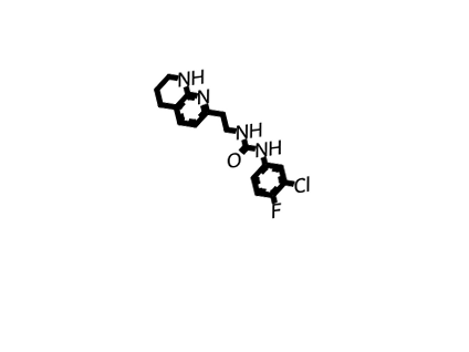 O=C(NCCc1ccc2c(n1)NCCC2)Nc1ccc(F)c(Cl)c1